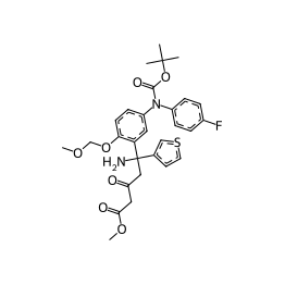 COCOc1ccc(N(C(=O)OC(C)(C)C)c2ccc(F)cc2)cc1C(N)(CC(=O)CC(=O)OC)c1ccsc1